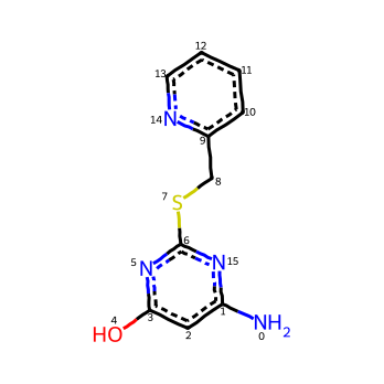 Nc1cc(O)nc(SCc2ccccn2)n1